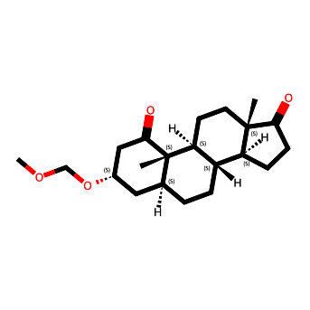 COCO[C@@H]1CC(=O)[C@@]2(C)[C@@H](CC[C@@H]3[C@@H]2CC[C@]2(C)C(=O)CC[C@@H]32)C1